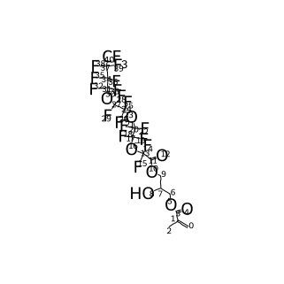 C=C(C)C(=O)OCC(O)COC(=O)C(F)(F)OC(F)(F)C(F)(F)OC(F)(F)C(F)(F)OC(F)(F)C(F)(F)C(F)(F)C(F)(F)F